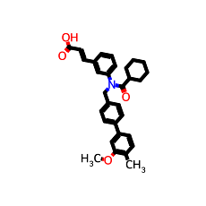 COc1cc(-c2ccc(CN(C(=O)C3CCCCC3)c3cccc(C=CC(=O)O)c3)cc2)ccc1C